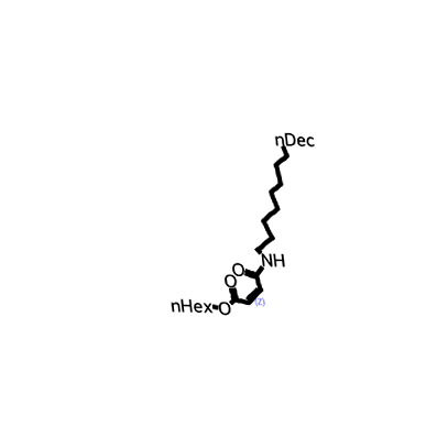 CCCCCCCCCCCCCCCCCCNC(=O)/C=C\C(=O)OCCCCCC